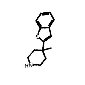 CC1(c2cc3ccccc3s2)CCNCC1